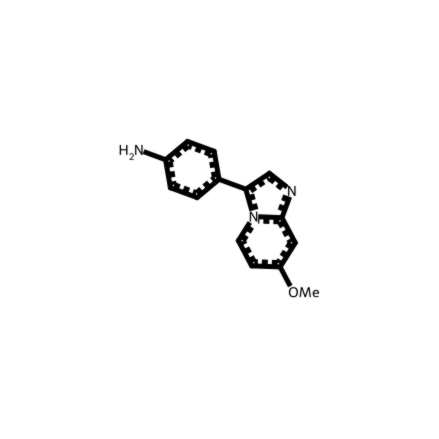 COc1ccn2c(-c3ccc(N)cc3)cnc2c1